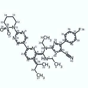 CCN/C(=c1/nc(-c2cnc(N3CCCCS3(=O)=O)nc2)cc/c1=C(/C)CC)N(CC)c1nc(-c2ccc(F)cc2)c(C#N)s1